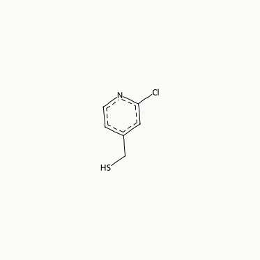 SCc1ccnc(Cl)c1